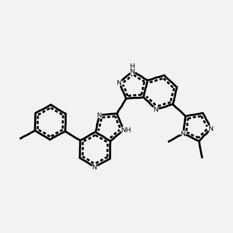 Cc1cccc(-c2cncc3[nH]c(-c4n[nH]c5ccc(-c6cnc(C)n6C)nc45)nc23)c1